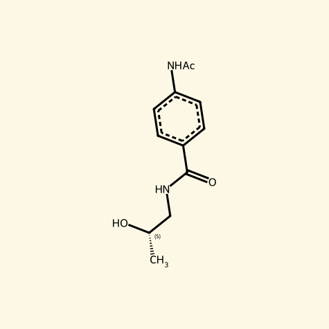 CC(=O)Nc1ccc(C(=O)NC[C@H](C)O)cc1